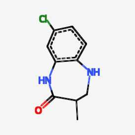 CC1CNc2ccc(Cl)cc2NC1=O